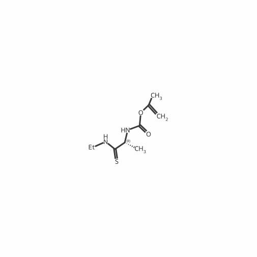 C=C(C)OC(=O)N[C@H](C)C(=S)NCC